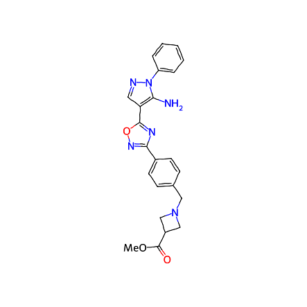 COC(=O)C1CN(Cc2ccc(-c3noc(-c4cnn(-c5ccccc5)c4N)n3)cc2)C1